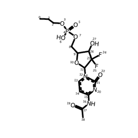 CCCOP(=O)(O)OCC1OC(n2ccc(NC(C)=O)nc2=O)C(F)(F)C1O